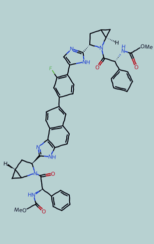 COC(=O)N[C@@H](C(=O)N1C2C[C@@H]2C[C@H]1c1nc2c(ccc3cc(-c4ccc(-c5cnc([C@@H]6CC7C[C@H]7N6C(=O)[C@H](NC(=O)OC)c6ccccc6)[nH]5)c(F)c4)ccc32)[nH]1)c1ccccc1